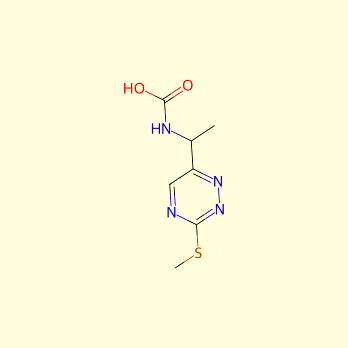 CSc1ncc(C(C)NC(=O)O)nn1